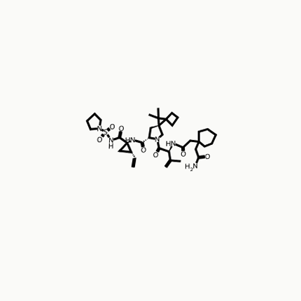 C=C[C@@H]1C[C@]1(NC(=O)[C@@H]1C[C@@]2(CN1C(=O)[C@@H](NC(=O)CC1(CC(N)=O)CCCCC1)C(=C)C)C(C)(C)C21CCC1)C(=O)NS(=O)(=O)N1CCCC1